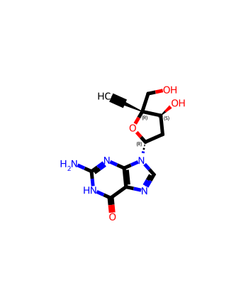 C#C[C@]1(CO)O[C@@H](n2cnc3c(=O)[nH]c(N)nc32)C[C@@H]1O